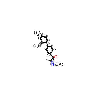 CC(=O)O/N=C(/C)C(=O)c1ccc(-c2ccc([N+](=O)[O-])cc2[N+](=O)[O-])cc1